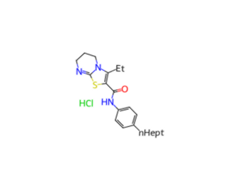 CCCCCCCc1ccc(NC(=O)C2=C(CC)N3CCCN=C3S2)cc1.Cl